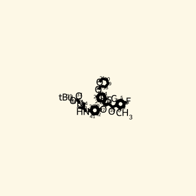 Cc1cc(F)cc(C)c1C(=O)c1sc2cc(OC3CCCCO3)ccc2c1Oc1ccc(NC2CN(C(=O)OC(C)(C)C)C2)cc1